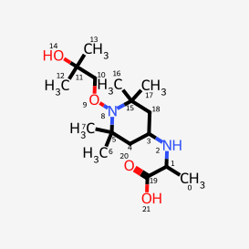 CC(NC1CC(C)(C)N(OCC(C)(C)O)C(C)(C)C1)C(=O)O